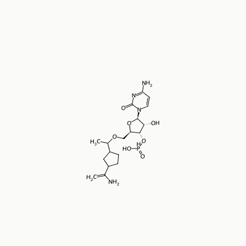 C=C(N)C1CCC(C(C)OC[C@H]2O[C@@H](n3ccc(N)nc3=O)[C@H](O)[C@@H]2O[PH](=O)O)C1